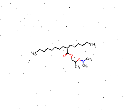 CCCCCCCCC(CCCCCC)C(=O)OCC(C)ON(C)C